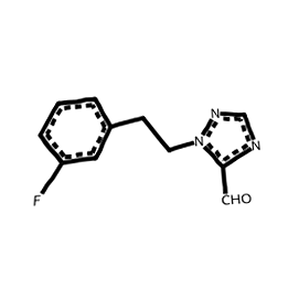 O=Cc1ncnn1CCc1cccc(F)c1